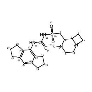 CN1CCN2CCC2C1CS(=O)(=O)NC(=O)Nc1c2c(cc3c1CCC3)CCC2